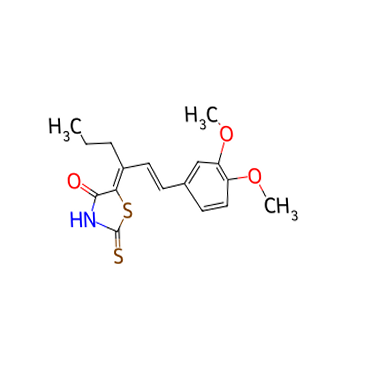 CCCC(/C=C/c1ccc(OC)c(OC)c1)=C1SC(=S)NC1=O